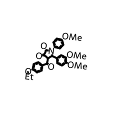 CCOc1ccc(C(=O)C2C(=O)C(=O)N(c3ccc(OC)cc3)C2c2ccc(OC)c(OC)c2)cc1